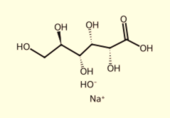 O=C(O)[C@H](O)[C@@H](O)[C@H](O)[C@H](O)CO.[Na+].[OH-]